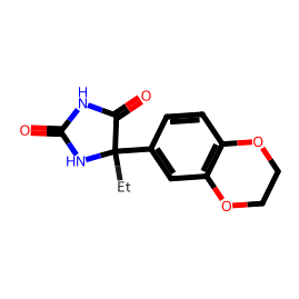 CCC1(c2ccc3c(c2)OCCO3)NC(=O)NC1=O